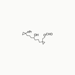 CCCC1(CCCC(O)CCCC2(CCOC=O)CC2)CC1